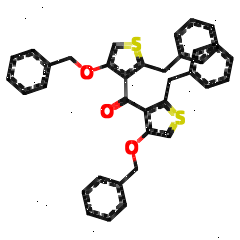 O=C(c1c(OCc2ccccc2)csc1Cc1ccccc1)c1c(OCc2ccccc2)csc1Cc1ccccc1